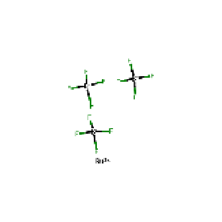 F[B-](F)(F)F.F[B-](F)(F)F.F[B-](F)(F)F.[Ru+3]